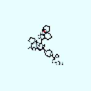 C[C@H](Oc1cc(N2CCN(C(=O)OC(C)(C)C)CC2)nc(-c2onc3c2CCC[C@@]32CCCCC23OCCO3)n1)[C@@H]1CCCN1C